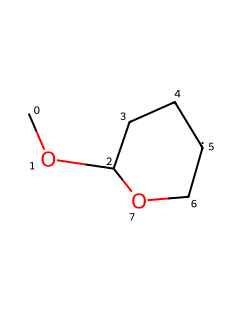 COC1CC[CH]CO1